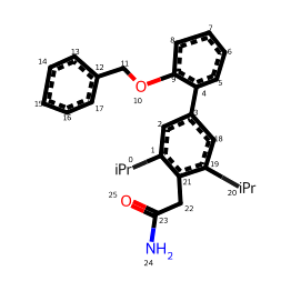 CC(C)c1cc(-c2ccccc2OCc2ccccc2)cc(C(C)C)c1CC(N)=O